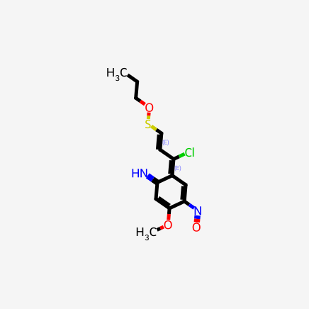 CCCOS/C=C/C(Cl)=C1/C=C(N=O)C(OC)=CC1=N